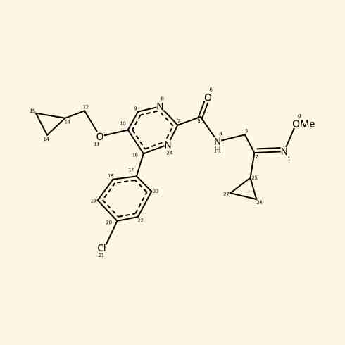 CO/N=C(\CNC(=O)c1ncc(OCC2CC2)c(-c2ccc(Cl)cc2)n1)C1CC1